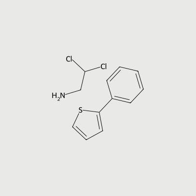 NCC(Cl)Cl.c1ccc(-c2cccs2)cc1